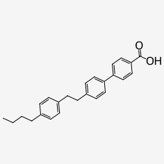 CCCCc1ccc(CCc2ccc(-c3ccc(C(=O)O)cc3)cc2)cc1